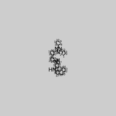 c1ccc(-c2nc(-c3ccccc3)nc(-c3cccc(-c4cccc(-n5ncc6cc7c(cc65)[nH]c5ccc6ccc8ccccc8c6c57)c4)c3)n2)cc1